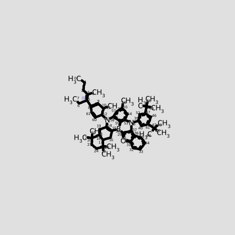 CCC/C(C)=C(\CC)C1=CC(C)C(N2C3=C(CC4C(C3)C(C)(C)CCC4(C)C)B3c4oc5ccccc5c4N(c4cc(C(C)(C)C)cc(C(C)(C)C)c4)c4cc(C)cc2c43)C=C1